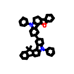 CC1(C)c2ccccc2-c2ccc3c(c21)c1cc(-c2ccc4c(c2)c2c5oc6ccccc6c5ccc2n4-c2ccccc2)ccc1n3-c1ccccc1